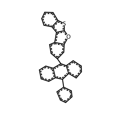 c1ccc(-c2c3ccccc3c(-c3ccc4c(c3)oc3sc5ccccc5c34)c3ccccc23)cc1